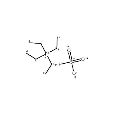 CC[P+](CC)(CC)CC.O=S(=O)([O-])F